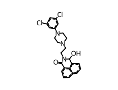 O=C1c2cccc3cccc(c23)C(O)N1CCN1CCN(c2cc(Cl)cc(Cl)c2)CC1